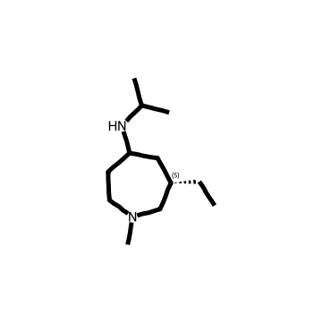 CC[C@H]1CC(NC(C)C)CCN(C)C1